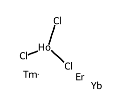 [Cl][Ho]([Cl])[Cl].[Er].[Tm].[Yb]